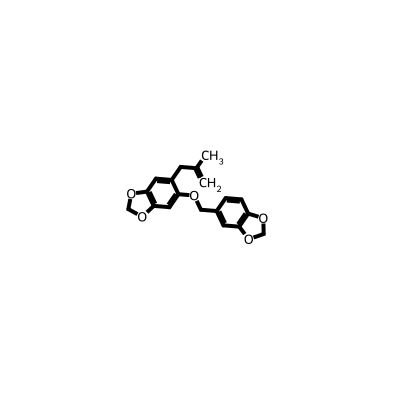 C=C(C)Cc1cc2c(cc1OCc1ccc3c(c1)OCO3)OCO2